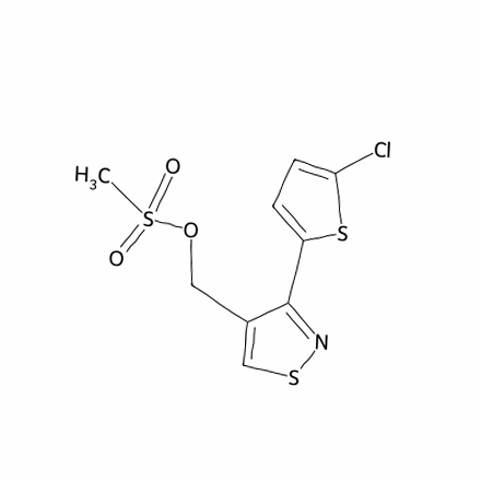 CS(=O)(=O)OCc1csnc1-c1ccc(Cl)s1